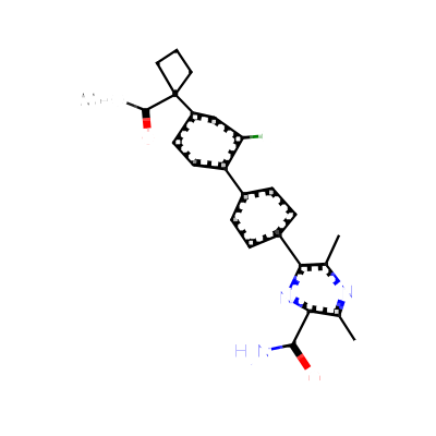 COC(=O)C1(c2ccc(-c3ccc(-c4nc(C(N)=O)c(C)nc4C)cc3)c(Cl)c2)CCC1